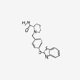 NC(=O)C1C[CH]CCN1Cc1ccc(Oc2nc3ccccc3s2)cc1